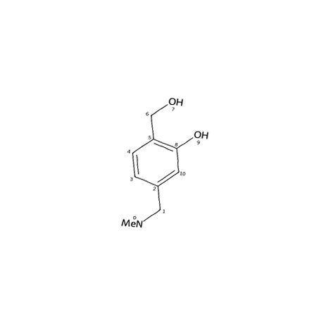 CNCc1ccc(CO)c(O)c1